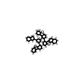 c1ccc2cc(-c3cc(-c4cccc5c4oc4ccccc45)cc(-c4c(-c5cccc6oc7c8ccccc8ccc7c56)ccc5oc6ccccc6c45)c3)ccc2c1